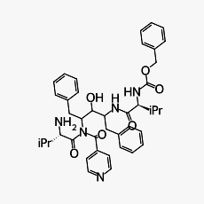 CC(C)[C@H](N)C(=O)N(C(=O)c1ccncc1)C(Cc1ccccc1)C(O)C(Cc1ccccc1)NC(=O)[C@@H](NC(=O)OCc1ccccc1)C(C)C